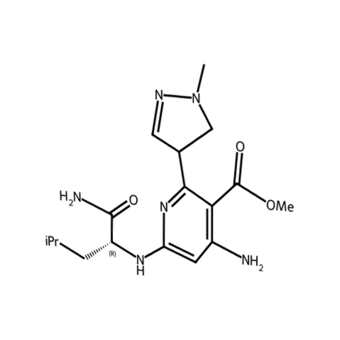 COC(=O)c1c(N)cc(N[C@H](CC(C)C)C(N)=O)nc1C1C=NN(C)C1